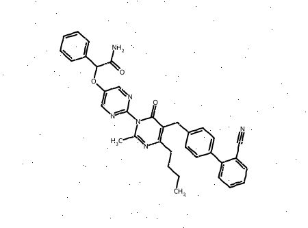 CCCCc1nc(C)n(-c2ncc(OC(C(N)=O)c3ccccc3)cn2)c(=O)c1Cc1ccc(-c2ccccc2C#N)cc1